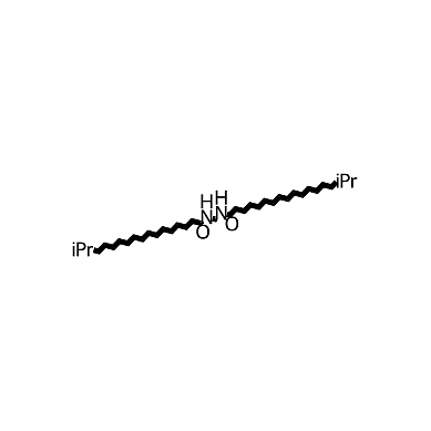 CC(C)CCCCCCCCCCCCCCC(=O)NCNC(=O)CCCCCCCCCCCCCCC(C)C